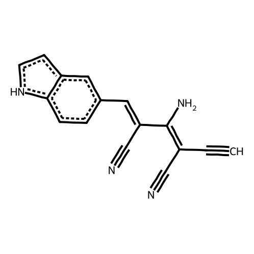 C#C/C(C#N)=C(N)/C(C#N)=C/c1ccc2[nH]ccc2c1